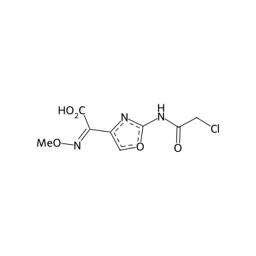 CON=C(C(=O)O)c1coc(NC(=O)CCl)n1